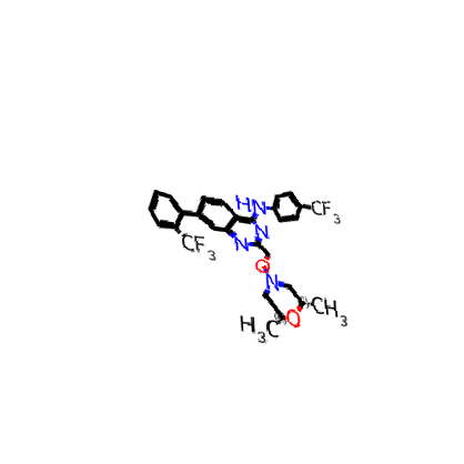 C[C@@H]1CN(OCc2nc(Nc3ccc(C(F)(F)F)cc3)c3ccc(-c4ccccc4C(F)(F)F)cc3n2)C[C@H](C)O1